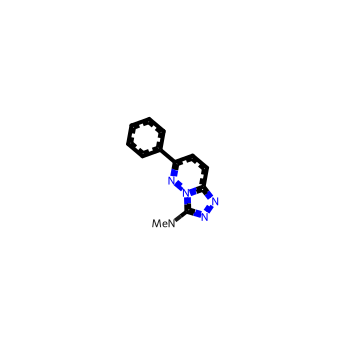 CNc1nnc2ccc(-c3ccccc3)nn12